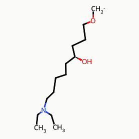 [CH2]OCCC[C@@H](O)CCCCCN(CC)CC